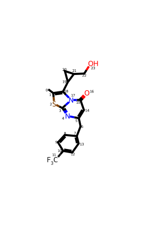 Cc1sc2nc(Cc3ccc(C(F)(F)F)cc3)cc(=O)n2c1C1CC1CO